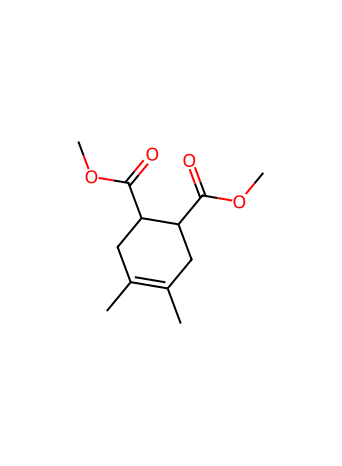 COC(=O)C1CC(C)=C(C)CC1C(=O)OC